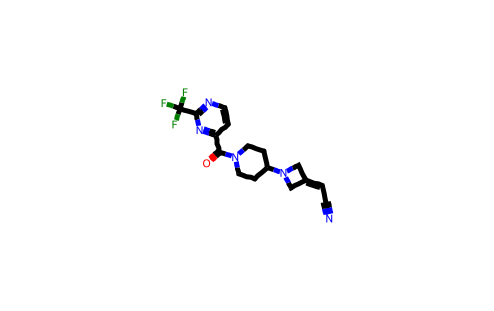 N#CC=C1CN(C2CCN(C(=O)c3ccnc(C(F)(F)F)n3)CC2)C1